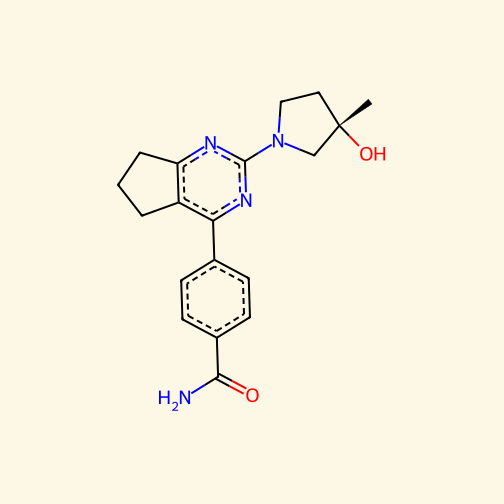 C[C@]1(O)CCN(c2nc3c(c(-c4ccc(C(N)=O)cc4)n2)CCC3)C1